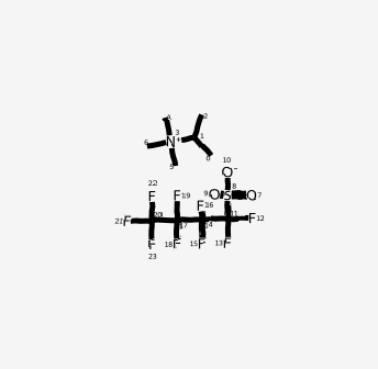 CC(C)[N+](C)(C)C.O=S(=O)([O-])C(F)(F)C(F)(F)C(F)(F)C(F)(F)F